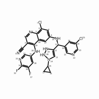 N#Cc1cnc2c(Cl)cc(N[C@H](C3=CN(C4CC4)NN3)c3cncc(Cl)c3)cc2c1Nc1cnc(F)c(F)c1